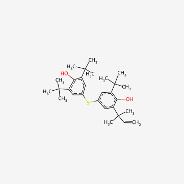 C=CC(C)(C)c1cc(Sc2cc(C(C)(C)C)c(O)c(C(C)(C)C)c2)cc(C(C)(C)C)c1O